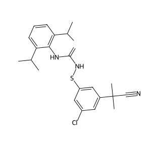 C=C(NSc1cc(Cl)cc(C(C)(C)C#N)c1)Nc1c(C(C)C)cccc1C(C)C